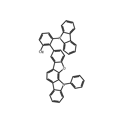 N#Cc1cccc(-n2c3ccccc3c3ccccc32)c1-c1ccc2oc3c(ccc4c5ccccc5n(-c5ccccc5)c43)c2c1